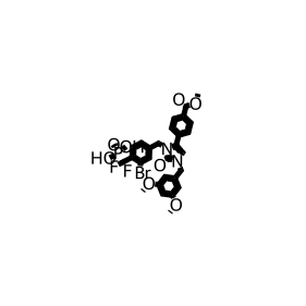 COC(=O)c1ccc(-c2cn(Cc3cc(OC)cc(OC)c3)c(=O)n2Cc2ccc(C(F)(F)P(=O)(O)O)c(Br)c2)cc1